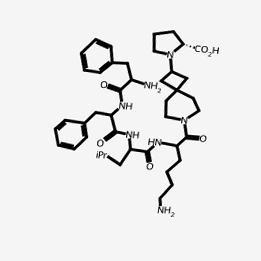 CC(C)CC(NC(=O)C(Cc1ccccc1)NC(=O)C(N)Cc1ccccc1)C(=O)NC(CCCCN)C(=O)N1CCC2(CC1)CC(N1CCC[C@@H]1C(=O)O)C2